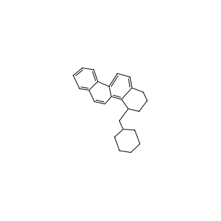 c1ccc2c(c1)ccc1c3c(ccc12)CCCC3CC1CCCCC1